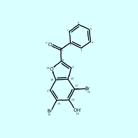 O=C(c1ccccc1)c1cc2c(Br)c(O)c(Br)cc2o1